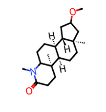 COC1C[C@H]2[C@@H]3CCC4N(C)C(=O)CC[C@]4(C)[C@@H]3CC[C@]2(C)C1